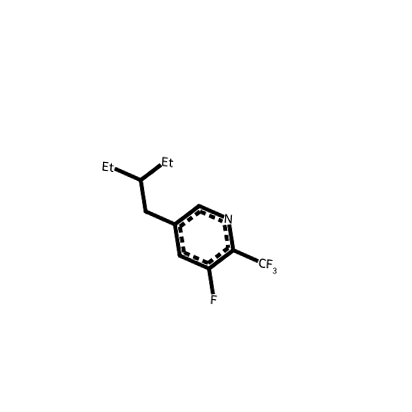 CCC(CC)Cc1cnc(C(F)(F)F)c(F)c1